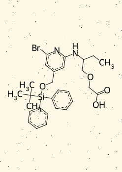 CCC(COCC(=O)O)Nc1cc(CO[Si](c2ccccc2)(c2ccccc2)C(C)(C)C)cc(Br)n1